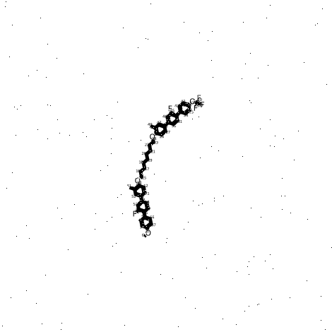 COc1ccc(-c2ccc(-c3ccc(OCCCCCCCCCOc4ccc(-c5ccc(-c6ccc(OC(F)(F)F)cc6)c(F)c5)cc4C)c(C)c3)cc2F)cc1